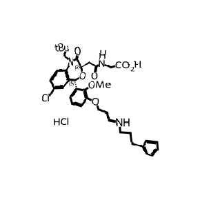 COc1c(OCCCNCCCc2ccccc2)cccc1[C@H]1O[C@H](CC(=O)NCC(=O)O)C(=O)N(CC(C)(C)C)c2ccc(Cl)cc21.Cl